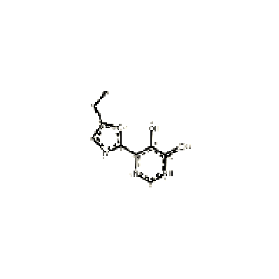 CCc1cnc(-c2nc[nH]c(=O)c2O)o1